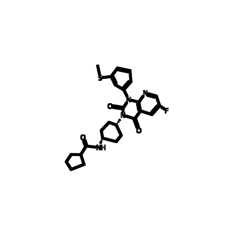 CSc1cccc(-n2c(=O)n([C@H]3CC[C@@H](NC(=O)C4CCCC4)CC3)c(=O)c3cc(F)cnc32)c1